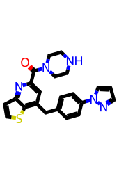 O=C(c1cc(Cc2ccc(-n3cccn3)cc2)c2sccc2n1)N1CCNCC1